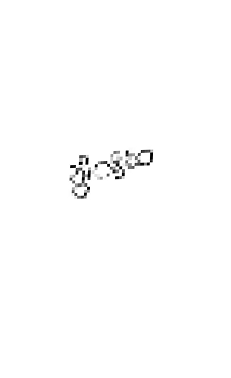 O=C1OCc2ccccc2N1C1CCN(S(=O)(=O)c2cc3ccccc3s2)CC1